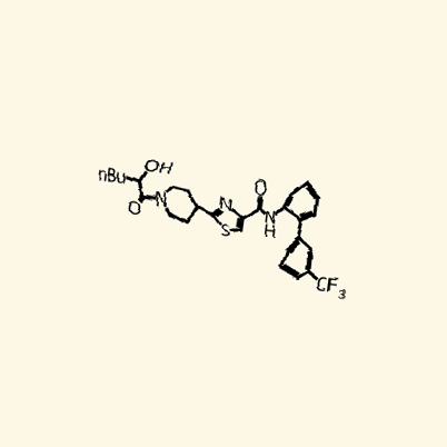 CCCCC(O)C(=O)N1CCC(c2nc(C(=O)Nc3ccccc3-c3cccc(C(F)(F)F)c3)cs2)CC1